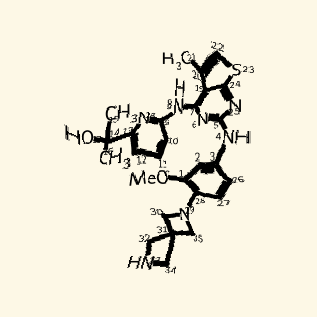 COc1cc(Nc2nc(Nc3cccc(C(C)(C)O)n3)c3c(C)csc3n2)ccc1N1CC2(CNC2)C1